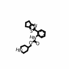 O=C(Nc1ccccc1-c1nc2c(s1)CCC2)OCC1CCNCC1